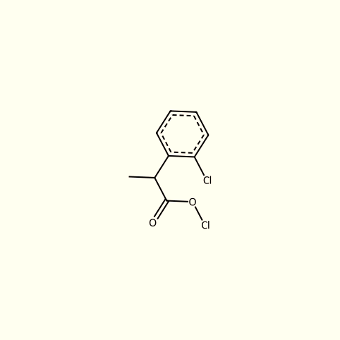 CC(C(=O)OCl)c1ccccc1Cl